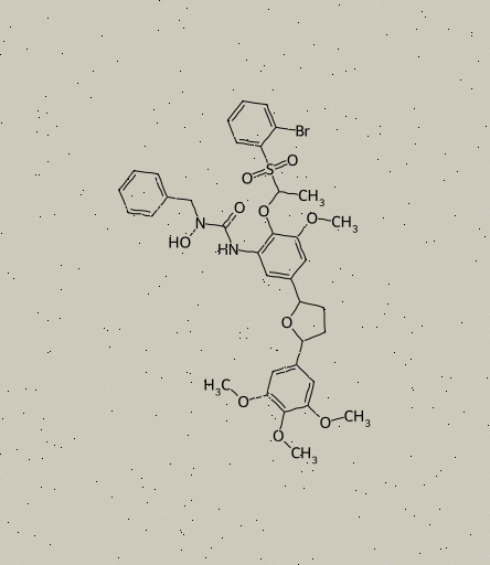 COc1cc(C2CCC(c3cc(OC)c(OC)c(OC)c3)O2)cc(NC(=O)N(O)Cc2ccccc2)c1OC(C)S(=O)(=O)c1ccccc1Br